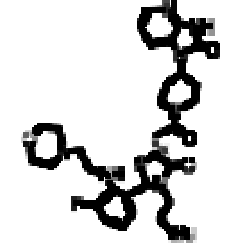 CC(C)(C)CCN1C(=O)[C@@H](CC(=O)N2CCC(n3c(=O)[nH]c4ncccc43)CC2)SC1c1cccc(F)c1NCCN1CCOCC1